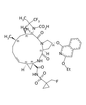 CCOc1cc2ccccc2c(O[C@@H]2C[C@H]3C(=O)N[C@]4(C(=O)NS(=O)(=O)C5(CF)CC5)C[C@H]4C=CCC[C@@H](C)C[C@@H](C)[C@H](N(C(=O)O)C(C)(C)C(F)(F)F)C(=O)N3C2)n1